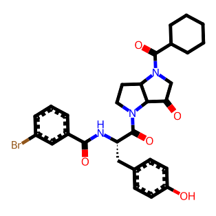 O=C(N[C@@H](Cc1ccc(O)cc1)C(=O)N1CCC2C1C(=O)CN2C(=O)C1CCCCC1)c1cccc(Br)c1